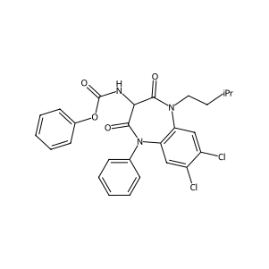 CC(C)CCN1C(=O)C(NC(=O)Oc2ccccc2)C(=O)N(c2ccccc2)c2cc(Cl)c(Cl)cc21